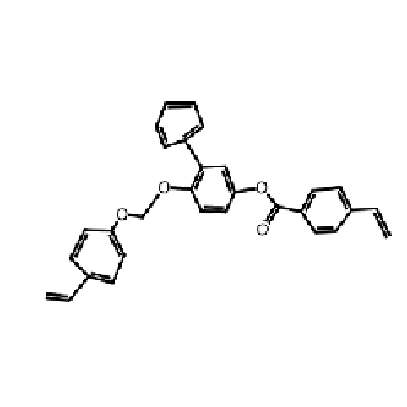 C=Cc1ccc(OCOc2ccc(OC(=O)c3ccc(C=C)cc3)cc2-c2ccccc2)cc1